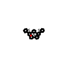 c1cc(-c2cccc3c2sc2ccccc23)c(-n2c3ccccc3c3ccccc32)c(-c2cccc3c2sc2ccccc23)c1